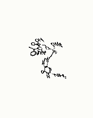 COC[C@H](Cn1cnc2c(=O)[nH]c(N)nc21)OCP(=O)(O)OC(C)OC